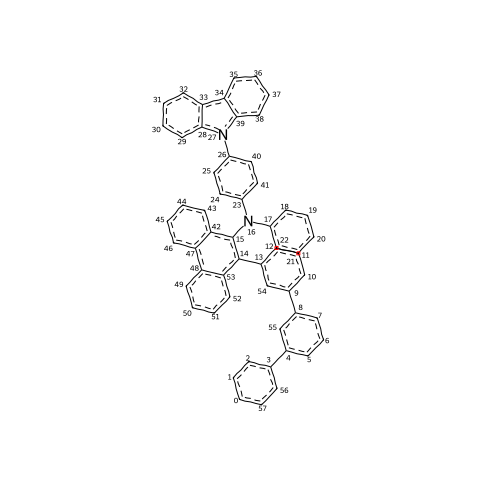 c1ccc(-c2cccc(-c3cccc(-c4c(N(c5ccccc5)c5ccc(-n6c7ccccc7c7ccccc76)cc5)c5ccccc5c5ccccc45)c3)c2)cc1